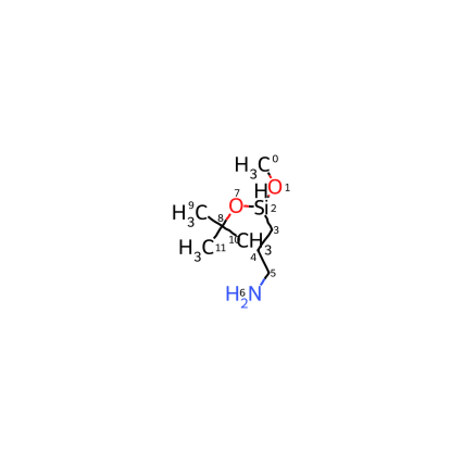 CO[SiH](CCCN)OC(C)(C)C